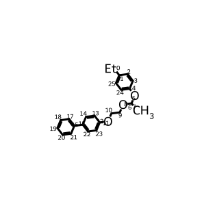 CCc1ccc(OC(C)OCCOc2ccc(-c3ccccc3)cc2)cc1